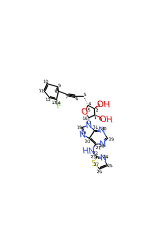 O[C@@H]1[C@H](O)[C@@H](CC#Cc2ccccc2F)O[C@H]1n1cnc2c(Nc3nccs3)ncnc21